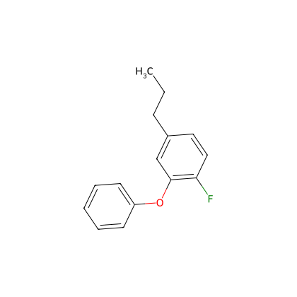 CCCc1ccc(F)c(Oc2ccccc2)c1